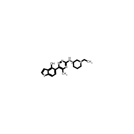 CCN1CCC[C@@H](Nc2nnc(-c3ccc4sccc4c3O)c(C)n2)C1